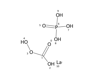 O=C(O)OO.O=P(O)(O)O.[La]